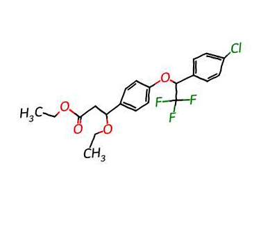 CCOC(=O)CC(OCC)c1ccc(OC(c2ccc(Cl)cc2)C(F)(F)F)cc1